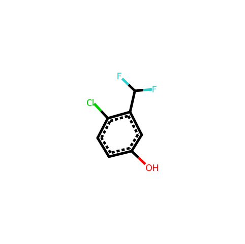 Oc1ccc(Cl)c(C(F)F)c1